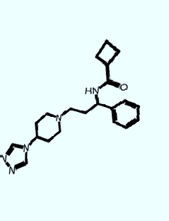 O=C(NC(CCN1CCC(n2cnnc2)CC1)c1ccccc1)C1CCC1